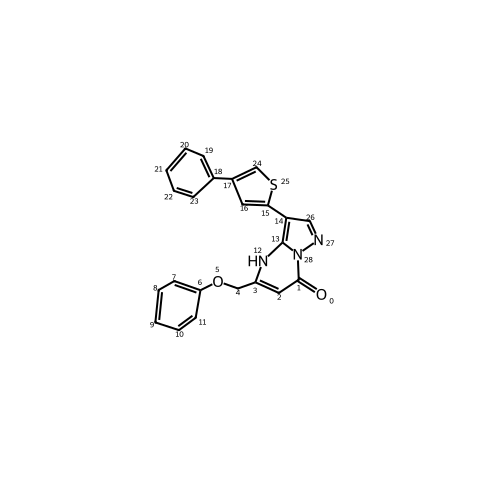 O=c1cc(COc2ccccc2)[nH]c2c(-c3cc(-c4ccccc4)cs3)cnn12